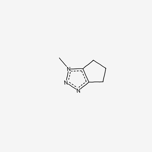 Cn1nnc2c1CCC2